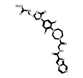 COC(=O)NC[C@H]1CN(c2cc(F)c(N3CCCN(C(=O)CNC(=O)c4cn5ccncc5n4)CC3)c(F)c2)C(=O)O1